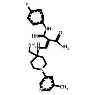 Cc1cncc(N2CCC(CN)(N/C=C(\C(=N)Nc3ccc(F)cc3)C(N)=O)CC2)c1